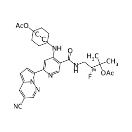 CC(=O)OC12CCC(Nc3cc(-c4ccc5cc(C#N)cnn45)ncc3C(=O)NC[C@@H](F)C(C)(C)OC(C)=O)(CC1)CC2